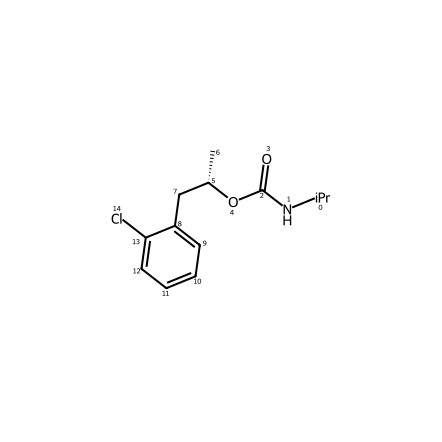 CC(C)NC(=O)O[C@@H](C)Cc1ccccc1Cl